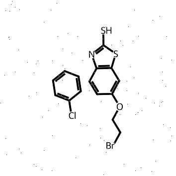 Clc1ccccc1.Sc1nc2ccc(OCCBr)cc2s1